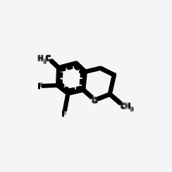 Cc1cc2c(c(F)c1F)OC(C)CC2